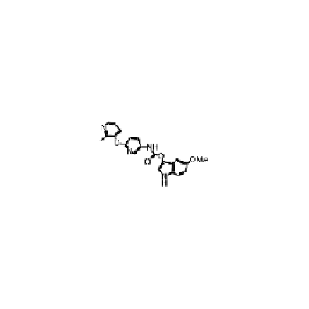 COc1ccc2[nH]cc(OC(=O)Nc3ccc(Oc4cccnc4C)nc3)c2c1